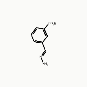 NN=Cc1cccc(C(=O)O)c1